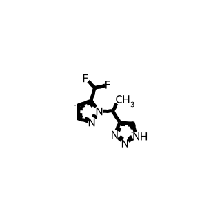 CC(c1c[nH]nn1)n1nc[c]c1C(F)F